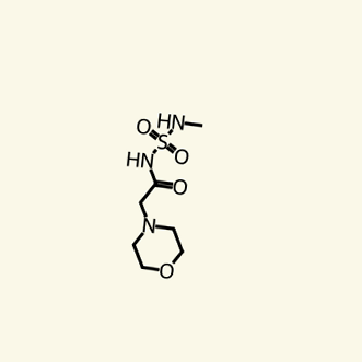 CNS(=O)(=O)NC(=O)CN1CCOCC1